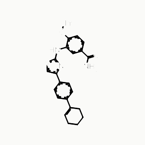 CC(C)Oc1ccc(C(N)=O)cc1Nc1nc(-c2ccc(C3=CCCCC3)cc2)cs1